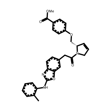 COC(=O)c1ccc(OC[C@@H]2C=CCN2C(=O)Cc2ccc3nc(Nc4ccccc4C)oc3c2)cc1